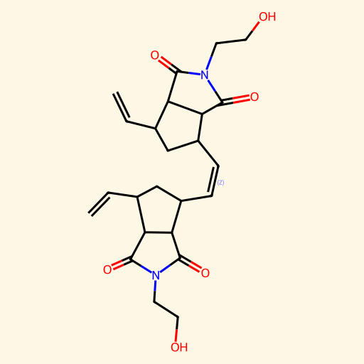 C=CC1CC(/C=C\C2CC(C=C)C3C(=O)N(CCO)C(=O)C23)C2C(=O)N(CCO)C(=O)C12